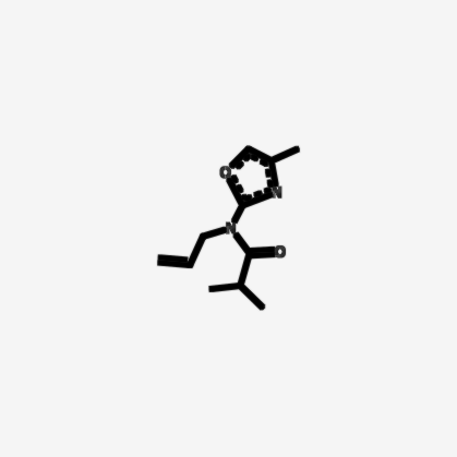 C=CCN(C(=O)C(C)C)c1nc(C)co1